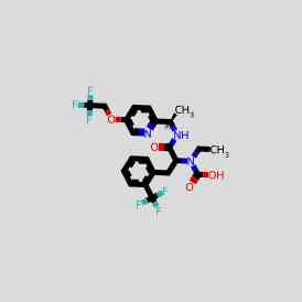 CCN(C(=O)O)C(Cc1ccccc1C(F)(F)F)C(=O)N[C@H](C)c1ccc(OCC(F)(F)F)cn1